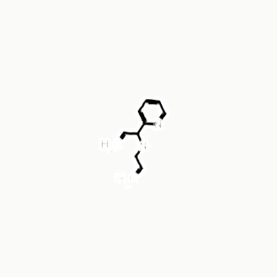 C=CC[N]C(C=C)c1ccccn1